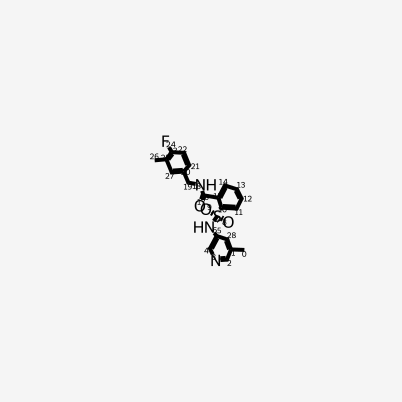 Cc1cncc(NS(=O)(=O)c2ccccc2C(=O)NCc2ccc(F)c(C)c2)c1